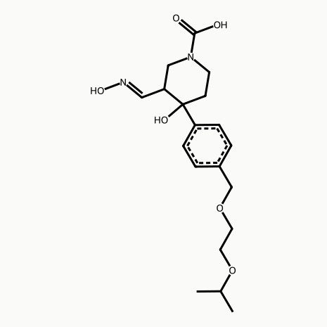 CC(C)OCCOCc1ccc(C2(O)CCN(C(=O)O)CC2C=NO)cc1